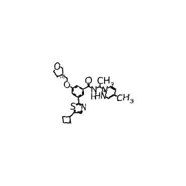 CC1=CNN(C(C)NC(=O)c2cc(OC[C@H]3CCOC3)cc(-c3ncc(C4CCC4)s3)c2)C=C1